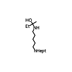 CCCCCCCCCCCCNC(C)(O)CC